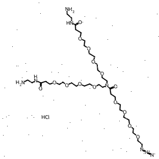 Cl.[N-]=[N+]=NCCOCCOCCOCCOCCC(=O)N(CCOCCOCCOCCOCCC(=O)NCCN)CCOCCOCCOCCOCCC(=O)NCCN